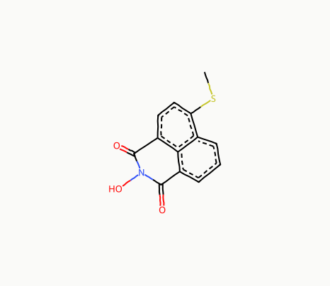 CSc1ccc2c3c(cccc13)C(=O)N(O)C2=O